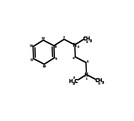 CN(C)CCN(C)CC1=CCC=CC1